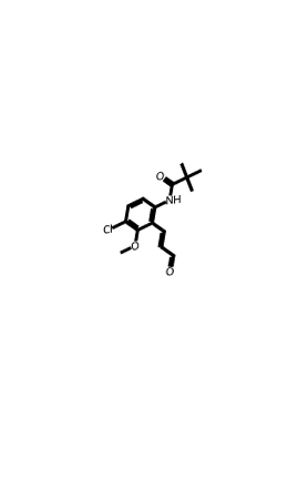 COc1c(Cl)ccc(NC(=O)C(C)(C)C)c1C=CC=O